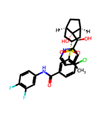 Cc1ccnc([C@H](O)[C@@]2(O)[C@@H]3CC[C@H]2C[C@H](S(=O)(=O)c2cc(C(=O)Nc4ccc(F)c(F)c4)ccc2Cl)C3)c1